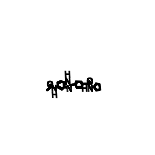 CC(=O)Nc1ccc2[nH]c(-c3ccc(C(=O)NC4CCCC4)cc3)nc2c1